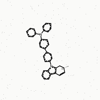 C[C@@H]1C=Cc2c(n(-c3ccc(-c4ccc(N(c5ccccc5)c5ccccc5)cc4)cc3)c3ccccc23)C1